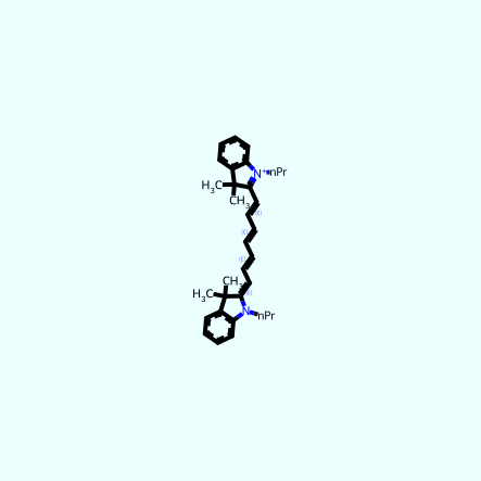 CCCN1/C(=C/C=C/C=C/C=C/C2=[N+](CCC)c3ccccc3C2(C)C)C(C)(C)c2ccccc21